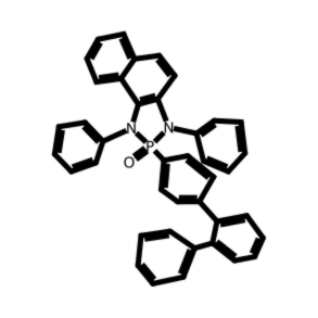 O=P1(c2ccc(-c3ccccc3-c3ccccc3)cc2)N(c2ccccc2)c2ccc3ccccc3c2N1c1ccccc1